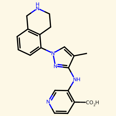 Cc1cn(-c2cccc3c2CCNC3)nc1Nc1cnccc1C(=O)O